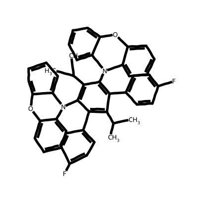 CC(C)c1c(-c2ccc(F)cc2)c(N2c3ccccc3Oc3ccccc32)c(C(C)C)c(N2c3ccccc3Oc3ccccc32)c1-c1ccc(F)cc1